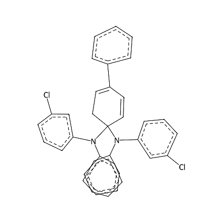 Clc1cccc(N(c2ccccc2)C2(N(c3ccccc3)c3cccc(Cl)c3)C=CC(c3ccccc3)=CC2)c1